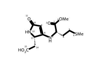 COC(=O)[C@H](CCSC)NC1=CC(=O)N[C@H]1CC(=O)O